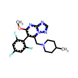 COc1nc2ncnn2c(CN2CCC(C)CC2)c1-c1c(F)cc(F)cc1F